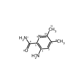 Cc1cc(N)c(C(N)=O)nc1C